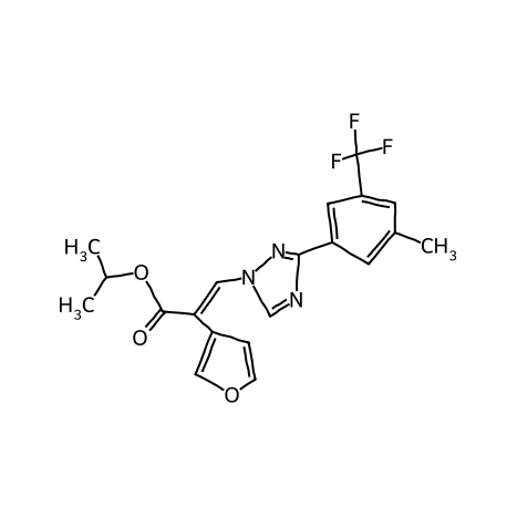 Cc1cc(-c2ncn(/C=C(/C(=O)OC(C)C)c3ccoc3)n2)cc(C(F)(F)F)c1